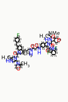 CNC(C)C(=O)NC(C(=O)N1Cc2ccc(NC(=O)CC(=O)NCCCC3(C)CN(C(=O)CN4C[C@@H](C)NC[C@@H]4CN4CCOC[C@H]4C)c4cc(Cc5ccc(F)cc5)ccc43)cc2[C@H]1C(=O)Nc1c(F)cccc1F)C1CCOCC1